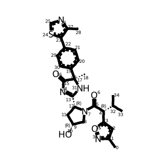 Cc1cc([C@H](C(=O)N2C[C@H](O)C[C@@H]2C2=NC(=O)[C@@](C)(c3ccc(-c4scnc4C)cc3)N2)C(C)C)on1